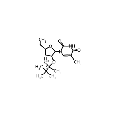 CC[C@@H]1C[C@H](O[Si](C)(C)C(C)(C)C)[C@H](n2cc(C)c(=O)[nH]c2=O)O1